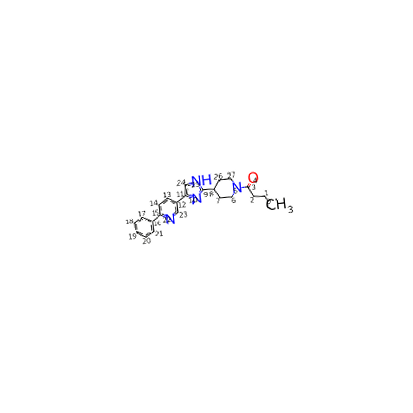 CCCC(=O)N1CCC(c2nc(-c3ccc(-c4ccccc4)nc3)c[nH]2)CC1